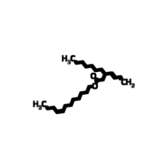 C=C/C=C/C(CCCCCCC)CC(=O)OCCCCCCC/C=C\CCC